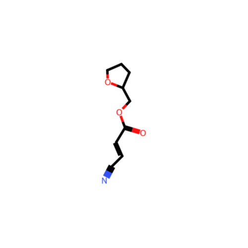 N#CC=CC(=O)OCC1CCCO1